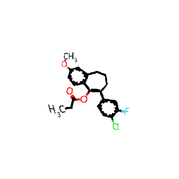 CCC(=O)OC1=C(c2ccc(Cl)c(F)c2)CCCc2cc(OC)ccc21